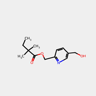 CCC(C)(C)C(=O)OCc1ccc(CO)cn1